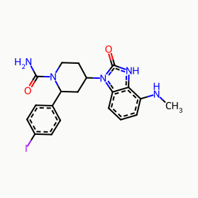 CNc1cccc2c1[nH]c(=O)n2C1CCN(C(N)=O)C(c2ccc(I)cc2)C1